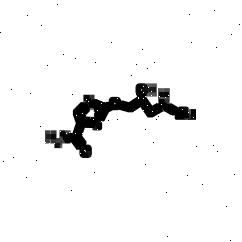 CC(C)(C)NCC(O)COc1ncc(C(N)=O)s1